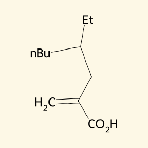 C=C(CC(CC)CCCC)C(=O)O